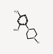 CCN1CCN(c2ccc(N)cc2OC)CC1